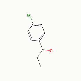 CCC([O])c1ccc(Br)cc1